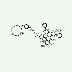 CC1CC(C(=O)NCCNCc2ccc(CN3CCCNCCNCCCNCC3)cc2)CC(OC2OC(CO)C(O)C(O[C@@H](CC3CCCCC3)C(=O)O)C2OC(=O)c2ccccc2)C1OC1OC(C)C(O)C(O)C1O